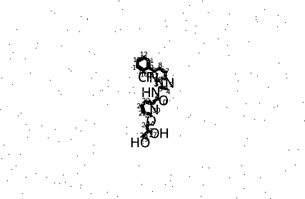 O=C(Nc1cnc2ccc(-c3ccccc3C(F)(F)F)nn12)c1cccc(OC[C@H](O)CO)n1